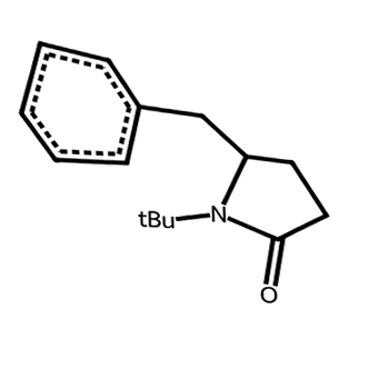 CC(C)(C)N1C(=O)CCC1Cc1ccccc1